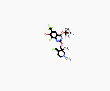 CN1CCC(=CF)C(C)(COc2nc(OC(C)(C)C)c3cc(C(F)(F)F)c(Br)c(F)c3n2)C1